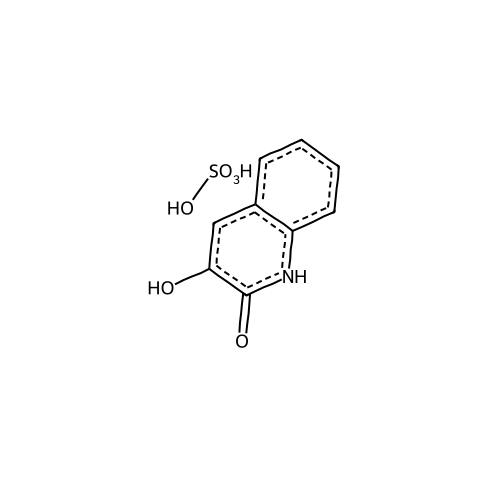 O=S(=O)(O)O.O=c1[nH]c2ccccc2cc1O